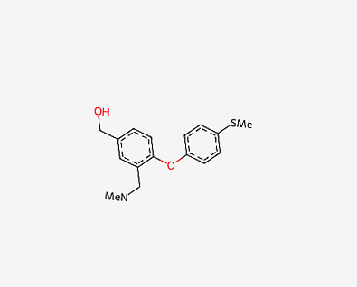 CNCc1cc(CO)ccc1Oc1ccc(SC)cc1